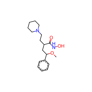 COC(CC(CCN1CCCCC1)C(=O)NO)c1ccccc1